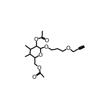 C#CCOCCCOC1OC(COC(C)=O)C(C)C(C)C1OC(C)=O